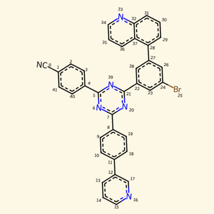 N#Cc1ccc(-c2nc(-c3ccc(-c4cccnc4)cc3)nc(-c3cc(Br)cc(-c4cccc5ncccc45)c3)n2)cc1